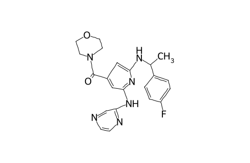 CC(Nc1cc(C(=O)N2CCOCC2)cc(Nc2cnccn2)n1)c1ccc(F)cc1